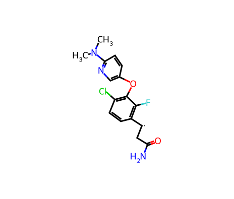 CN(C)c1ccc(Oc2c(Cl)ccc([CH]CC(N)=O)c2F)cn1